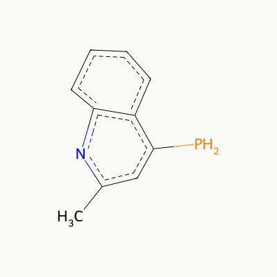 Cc1cc(P)c2ccccc2n1